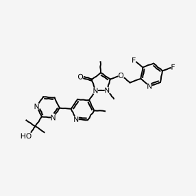 Cc1cnc(-c2ccnc(C(C)(C)O)n2)cc1-n1c(=O)c(C)c(OCc2ncc(F)cc2F)n1C